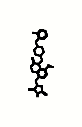 COc1ccc(CC2SC(=O)NC2=O)c2c1N(CC1CCN(Cc3ccccc3C)CC1)C(=O)CC2